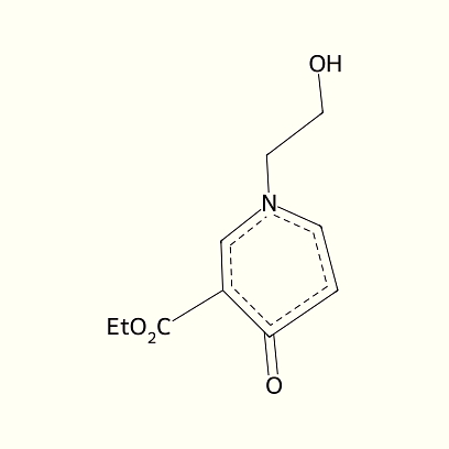 CCOC(=O)c1cn(CCO)ccc1=O